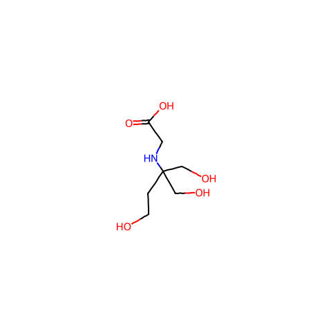 O=C(O)CNC(CO)(CO)CCO